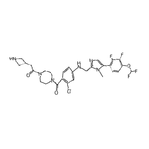 Cn1c(-c2ccc(OC(F)F)c(F)c2F)cnc1CNc1ccc(C(=O)N2CCN(C(=O)CC3CNC3)CC2)c(Cl)c1